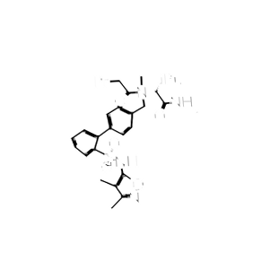 CC[C@H](C)[C@@H](C(N)=O)[N+](C)(Cc1ccc(-c2ccccc2S(=O)(=O)Nc2onc(C)c2C)cc1)C(=O)CC(C)C